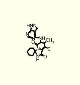 CC1C(Cl)=C2C(=O)NC3(CCCCC3)N2C(=O)C1Nc1ncnc2[nH]ncc12